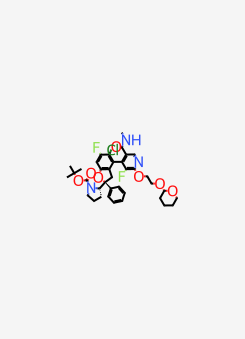 CNC(=O)c1cnc(OCCOC2CCCCO2)c(F)c1-c1c(Cl)c(F)cc2c1C[C@](c1ccccc1)([C@@H]1CCCN1C(=O)OC(C)(C)C)O2